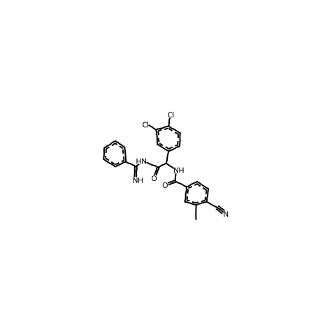 Cc1cc(C(=O)NC(C(=O)NC(=N)c2ccccc2)c2ccc(Cl)c(Cl)c2)ccc1C#N